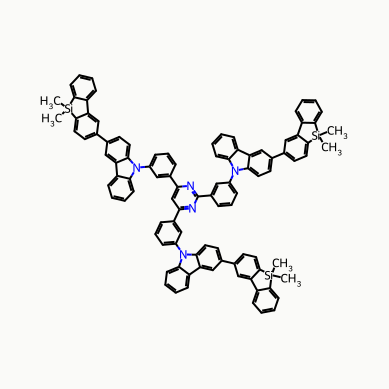 C[Si]1(C)c2ccccc2-c2cc(-c3ccc4c(c3)c3ccccc3n4-c3cccc(-c4cc(-c5cccc(-n6c7ccccc7c7cc(-c8ccc9c(c8)-c8ccccc8[Si]9(C)C)ccc76)c5)nc(-c5cccc(-n6c7ccccc7c7cc(-c8ccc9c(c8)-c8ccccc8[Si]9(C)C)ccc76)c5)n4)c3)ccc21